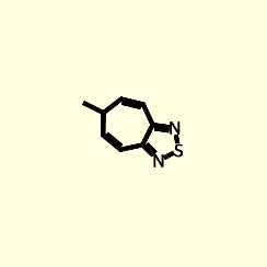 CC1C=Cc2nsnc2C=C1